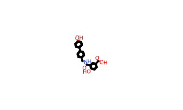 O=C(O)c1ccc(O)c(C(=O)NCc2ccc(-c3ccc(O)cc3)cc2)c1